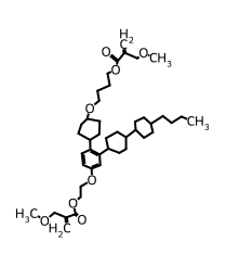 C=C(COC)C(=O)OCCCCOC1CCC(c2ccc(OCCOC(=O)C(=C)COC)cc2C2CCC(C3CCC(CCCC)CC3)CC2)CC1